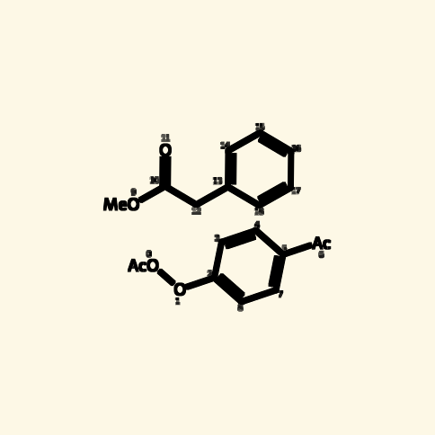 CC(=O)OOc1ccc(C(C)=O)cc1.COC(=O)Cc1ccccc1